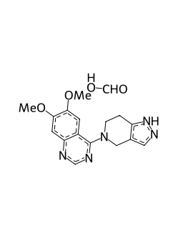 COc1cc2ncnc(N3CCc4[nH]ncc4C3)c2cc1OC.O=CO